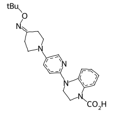 CC(C)(C)ON=C1CCN(c2ccc(N3CCN(C(=O)O)c4ccccc43)nc2)CC1